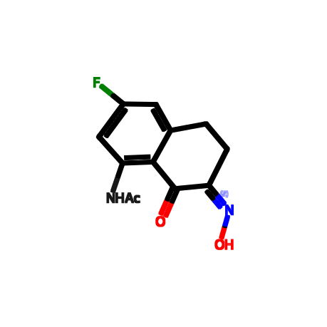 CC(=O)Nc1cc(F)cc2c1C(=O)/C(=N\O)CC2